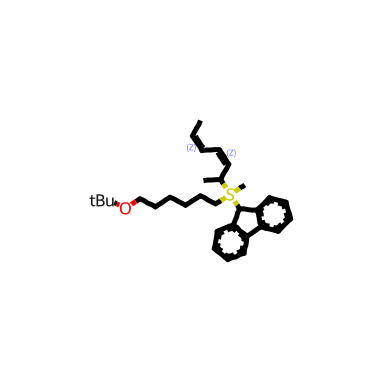 C/C=C\C=C/C(C)S(C)(CCCCCCOC(C)(C)C)C1c2ccccc2-c2ccccc21